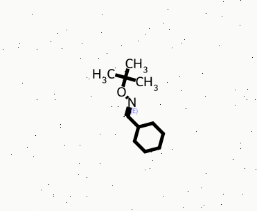 CC(C)(C)O/N=[C]/C1CCCCC1